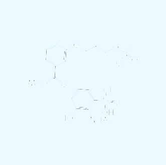 CC(=O)Nc1c(O)cccc1[As](=O)(O)O.COC(=O)c1cccc(OCCCOS(C)(=O)=O)c1